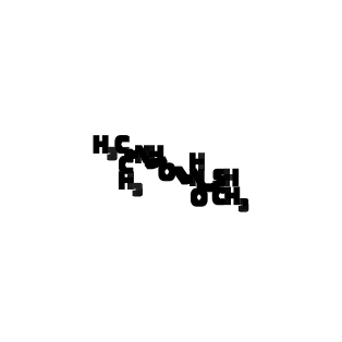 CC(C)NCCOCCNC(=O)C(C)S